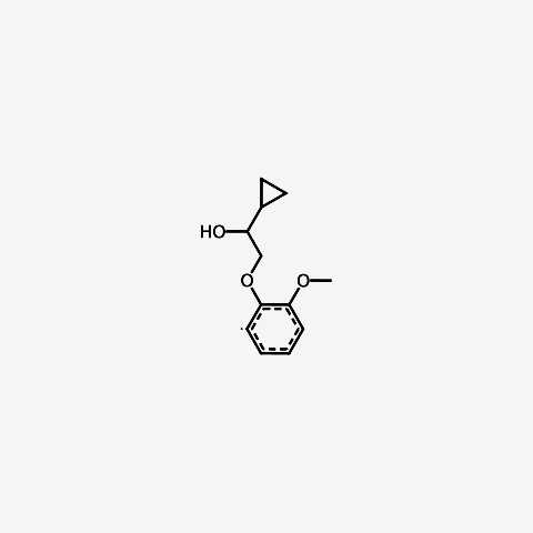 COc1ccc[c]c1OCC(O)C1CC1